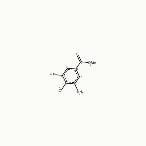 COC(=O)c1cc(N)c(Cl)c(F)c1